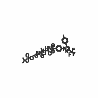 Cc1ccc(-c2cc(C(F)(F)F)nn2-c2ccc(S(=O)(=O)NC(=O)C(C)(C)N(C)[N+]([O-])=NOCOC(=O)OC(C)C)cc2)cc1